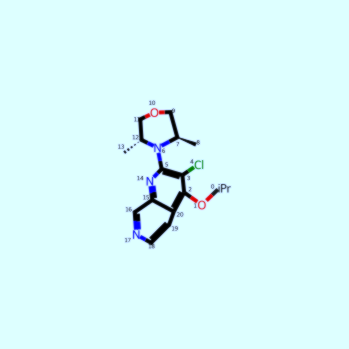 CC(C)Oc1c(Cl)c(N2[C@H](C)COC[C@H]2C)nc2cnccc12